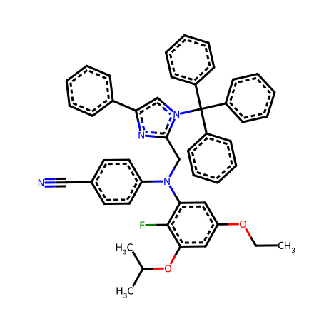 CCOc1cc(OC(C)C)c(F)c(N(Cc2nc(-c3ccccc3)cn2C(c2ccccc2)(c2ccccc2)c2ccccc2)c2ccc(C#N)cc2)c1